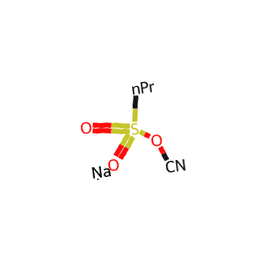 CCCS(=O)(=O)OC#N.[Na]